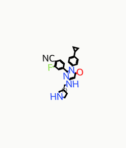 N#Cc1ccc(-c2nc(NC[C@H]3CCNC3)cc(=O)n2-c2ccc(C3CC3)cc2)cc1F